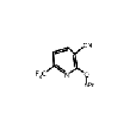 CCCOc1nc(C(F)(F)F)ccc1C#N